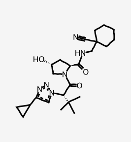 CC(C)(C)[C@@H](C(=O)N1C[C@H](O)C[C@H]1C(=O)NCC1(C#N)CCCCC1)n1cc(C2CC2)nn1